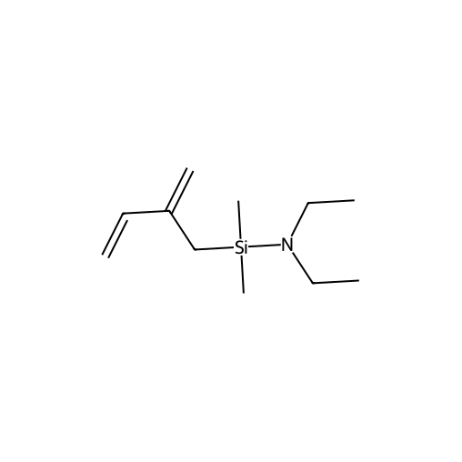 C=CC(=C)C[Si](C)(C)N(CC)CC